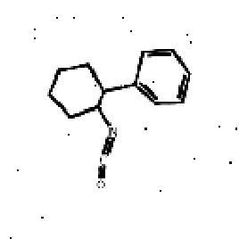 O=C=NC1CCCCC1c1ccccc1